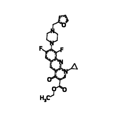 CCOC(=O)c1cn(C2CC2)c2nc3c(F)c(N4CCN(Cc5ccco5)CC4)c(F)cc3cc2c1=O